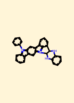 c1ccc(-n2c3ccccc3c3cc4c(cc32)c2cccc3c2n4C2Nc4ccccc4NC32)cc1